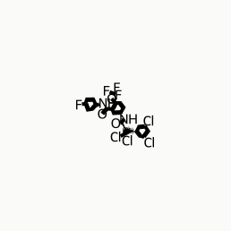 O=C(Nc1ccc(F)cc1)c1cc(NC(=O)[C@H]2[C@H](c3cc(Cl)cc(Cl)c3)C2(Cl)Cl)ccc1OC(F)(F)F